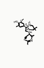 COc1cc(C(CNc2cnc(C)nc2C)P2(=O)NCC(C)(C)CN2)cc(C)c1O